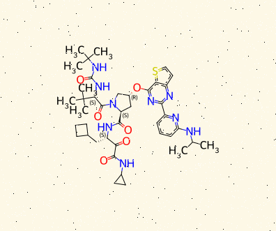 CC(C)Nc1cccc(-c2nc(O[C@@H]3C[C@@H](C(=O)N[C@@H](CC4CCC4)C(=O)C(=O)NC4CC4)N(C(=O)[C@@H](NC(=O)NC(C)(C)C)C(C)(C)C)C3)c3sccc3n2)n1